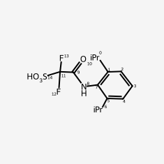 CC(C)c1cccc(C(C)C)c1NC(=O)C(F)(F)S(=O)(=O)O